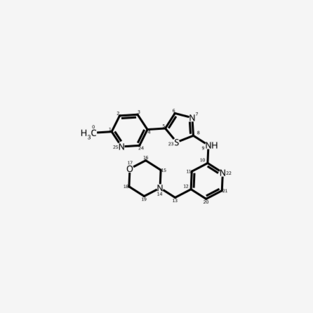 Cc1ccc(-c2cnc(Nc3cc(CN4CCOCC4)ccn3)s2)cn1